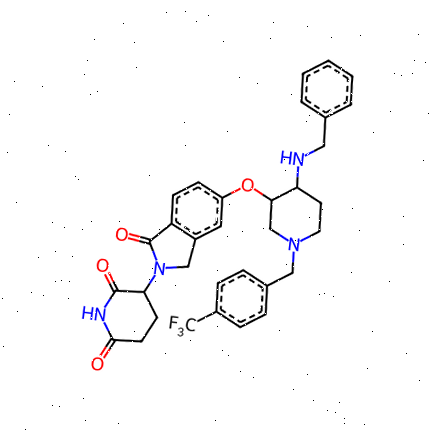 O=C1CCC(N2Cc3cc(OC4CN(Cc5ccc(C(F)(F)F)cc5)CCC4NCc4ccccc4)ccc3C2=O)C(=O)N1